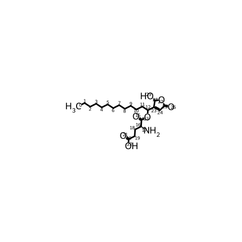 CCCCCCCCCCCCC(OC(=O)[C@@H](N)CCC(=O)O)C1=CC(=O)OC1O